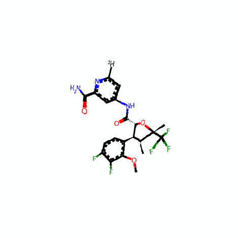 [2H]c1cc(NC(=O)[C@@H]2O[C@](C)(C(F)(F)F)[C@@H](C)[C@H]2c2ccc(F)c(F)c2OC)cc(C(N)=O)n1